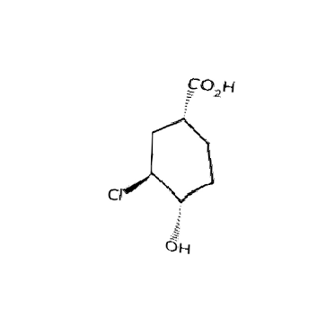 O=C(O)[C@@H]1CC[C@H](O)[C@@H](Cl)C1